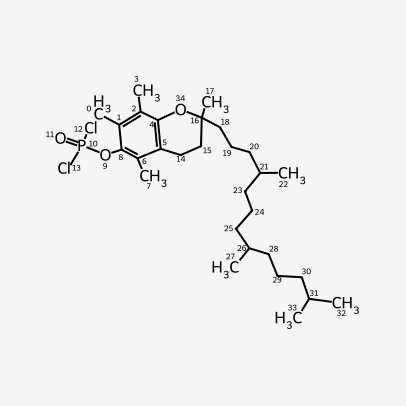 Cc1c(C)c2c(c(C)c1OP(=O)(Cl)Cl)CCC(C)(CCCC(C)CCCC(C)CCCC(C)C)O2